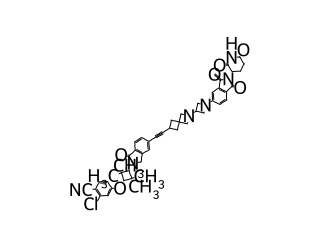 CC1(C)C(Oc2ccc(C#N)c(Cl)c2)C(C)(C)C1N1Cc2cc(C#CC3CC4(C3)CN(C3CN(c5ccc6c(c5)C(=O)N(C5CCC(=O)NC5=O)C6=O)C3)C4)ccc2C1=O